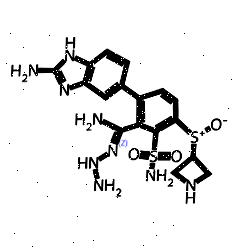 NN/N=C(\N)c1c(-c2ccc3[nH]c(N)nc3c2)ccc([S+]([O-])C2CNC2)c1S(N)(=O)=O